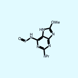 CCCc1nc(NP=O)c2[nH]c(OC)nc2n1